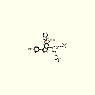 CC(C)(C)OC(=O)N1C2CCC1CC(c1cc(N(COCC[Si](C)(C)C)COCC[Si](C)(C)C)n3ncc(-c4ccc(Br)nc4)c3n1)C2